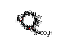 CC=CC[C@@H](C)C(OC(=O)OCOC(=O)c1ccc(C(=O)O)cc1)C1C(=O)NC(CC)C(=O)N(C)CC(=O)N(C)[C@@H](CC(C)C)C(=O)NC(C(C)C)C(=O)N(C)C(CC(C)C)C(=O)NC(C)C(=O)NC(C)C(=O)N(C)C(CC(C)C)C(=O)N(C)C(CC(C)C)C(=O)N(C)C(C(C)C)C(=O)N1C